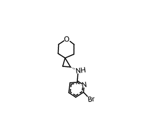 Brc1cccc(N[C@@H]2CC23CCOCC3)n1